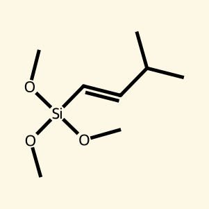 CO[Si](C=CC(C)C)(OC)OC